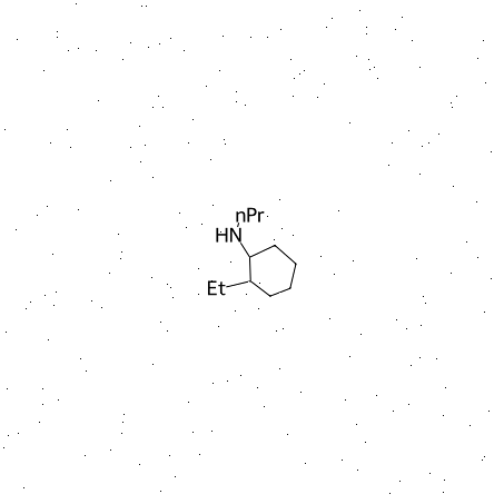 CCCNC1CCCCC1CC